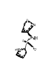 O=S(=O)(Nc1ccon1)c1ccc[nH]1